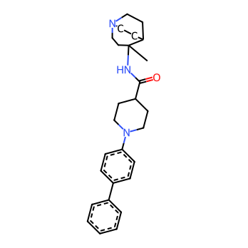 CC1(NC(=O)C2CCN(c3ccc(-c4ccccc4)cc3)CC2)CCN2CCC1CC2